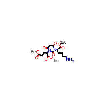 CC(C)(C)OC(=O)CCC(C(=O)OC(C)(C)C)N1C(=O)CC(=O)N(C(CCCCN)C(=O)OC(C)(C)C)C1=O